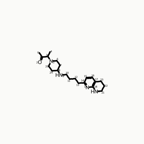 CC(=O)C(C)N1CCC(NCCCCc2ccc3c(n2)NCCC3)CC1